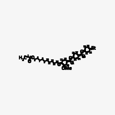 C=CC(=O)OCCCCCCCCCCOc1ccc(C(=O)Oc2ccc(C(=O)Oc3ccc(CC)cc3)cc2)cc1OC